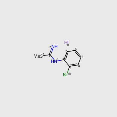 CSC(=N)Nc1ccccc1Br.I